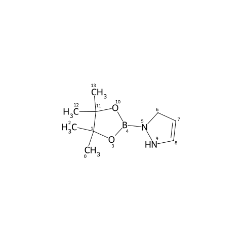 CC1(C)OB(N2CC=CN2)OC1(C)C